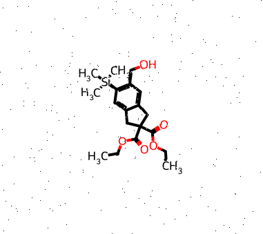 CCOC(=O)C1(C(=O)OCC)Cc2cc(CO)c([Si](C)(C)C)cc2C1